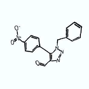 O=Cc1nnn(Cc2ccccc2)c1-c1ccc([N+](=O)[O-])cc1